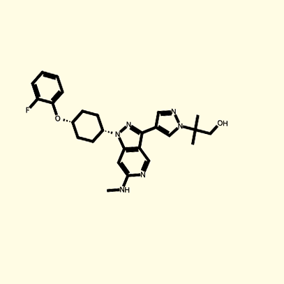 CNc1cc2c(cn1)c(-c1cnn(C(C)(C)CO)c1)nn2[C@H]1CC[C@@H](Oc2ccccc2F)CC1